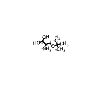 CC(C)(C)OC[C@@H](N)C(O)O